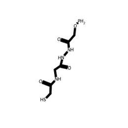 O=C(CS)NCC(=O)NNC(=O)COP